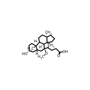 CO[C@@]1(C(C)CCC(=O)O)C[C@@H]2C[C@H](O)CC[C@]2(C)[C@H]2CC[C@@]3(C)CCC[C@H]3[C@H]21